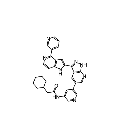 O=C(CC1CCCCC1)Nc1cncc(-c2cnc3[nH]nc(-c4cc5c(-c6cccnc6)nccc5[nH]4)c3c2)c1